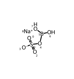 O=S(=O)([O-])OB(O)O.[Na+]